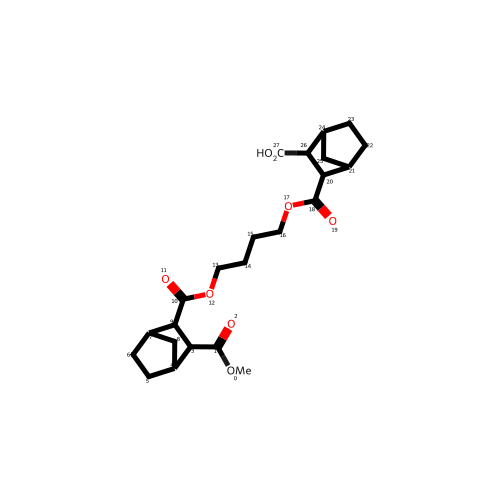 COC(=O)C1C2CCC(C2)C1C(=O)OCCCCOC(=O)C1C2CCC(C2)C1C(=O)O